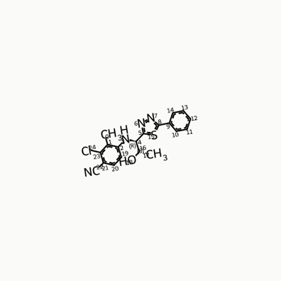 Cc1c(N[C@@H](c2nnc(-c3ccccc3)s2)[C@H](C)O)ccc(C#N)c1Cl